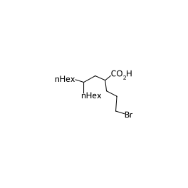 CCCCCCC(CCCCCC)CC(CCCBr)C(=O)O